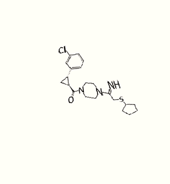 N=C(CSC1CCCC1)N1CCN(C(=O)[C@H]2C[C@@H]2c2cccc(Cl)c2)CC1